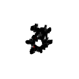 CCC[C@@H]1NC(=O)[C@@H](CC(C)C)NC(=O)[C@H](CCNC(=O)OC(C)(C)C)NC(=O)[C@@H](NC(=O)[C@H](CCNC(=O)OC(C)(C)C)NC(=O)[C@@H](NC(=O)[C@H](CCNC(=O)OC(C)(C)C)NC(=O)OCc2ccccc2)C(C)O)CCNC(=O)[C@H](C(C)O)NC(=O)[C@H](CCNC(=O)OC(C)(C)C)NC(=O)[C@H](CCNC(=O)OC(C)(C)C)NC1=O